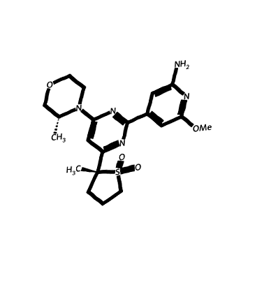 COc1cc(-c2nc(N3CCOC[C@H]3C)cc([C@@]3(C)CCCS3(=O)=O)n2)cc(N)n1